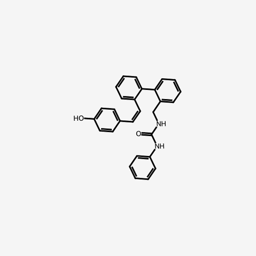 O=C(NCc1ccccc1-c1ccccc1C=Cc1ccc(O)cc1)Nc1ccccc1